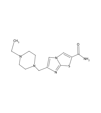 CCN1CCN(Cc2cn3cc(C(N)=O)sc3n2)CC1